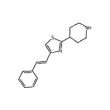 C(=Cc1csc(C2CCNCC2)n1)c1ccccc1